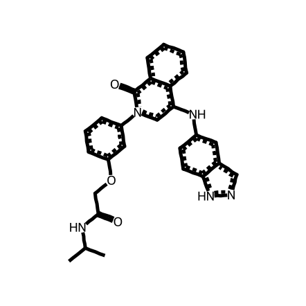 CC(C)NC(=O)COc1cccc(-n2cc(Nc3ccc4[nH]ncc4c3)c3ccccc3c2=O)c1